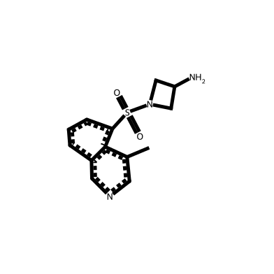 Cc1cncc2cccc(S(=O)(=O)N3CC(N)C3)c12